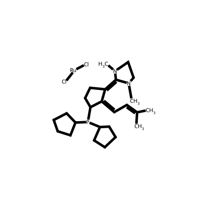 CC(C)=CC=C1C(=C2N(C)CCN2C)CCC1P(C1CCCC1)C1CCCC1.[Cl][Ru][Cl]